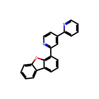 c1ccc(-c2ccnc(-c3cccc4c3oc3ccccc34)c2)nc1